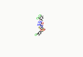 O=C(NCc1ccc(Cl)c(Cl)c1)Nc1nc(CS(=O)(=O)Cc2ccc(Cl)cc2)cs1